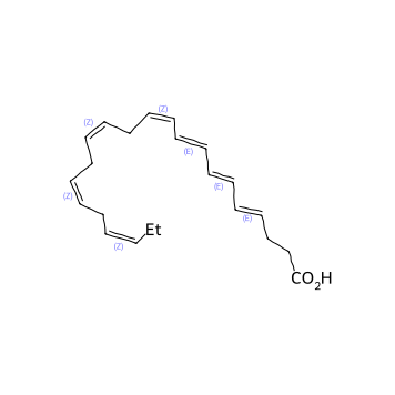 CC/C=C\C/C=C\C/C=C\C\C=C/C=C/C=C/C=C/CCC(=O)O